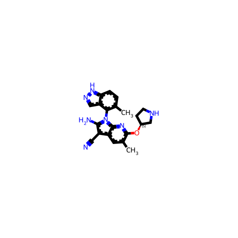 Cc1cc2c(C#N)c(N)n(-c3c(C)ccc4[nH]ncc34)c2nc1O[C@H]1CCNC1